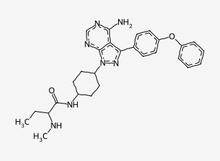 CCC(NC)C(=O)NC1CCC(n2nc(-c3ccc(Oc4ccccc4)cc3)c3c(N)ncnc32)CC1